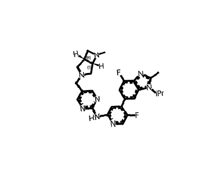 Cc1nc2c(F)cc(-c3cc(Nc4ncc(CN5C[C@@H]6CN(C)[C@@H]6C5)cn4)ncc3F)cc2n1C(C)C